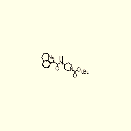 CC(C)(C)OC(=O)N1CCC(NC(=O)c2cn3c4c(cccc24)CCC3)CC1